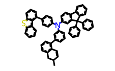 CC1C=Cc2c(cccc2-c2cccc(N(c3ccc(-c4cccc5sc6ccccc6c45)cc3)c3ccc4c(c3)C(c3ccccc3)(c3ccccc3)c3ccccc3-4)c2)C1